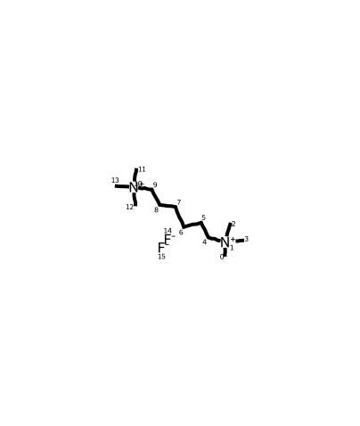 C[N+](C)(C)CCCCCC[N+](C)(C)C.[F-].[F-]